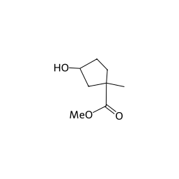 COC(=O)C1(C)CCC(O)C1